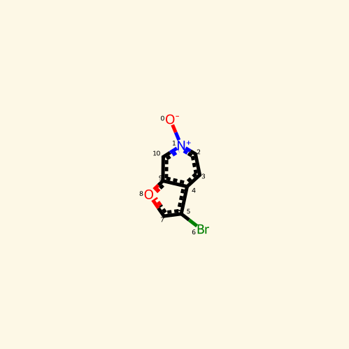 [O-][n+]1ccc2c(Br)coc2c1